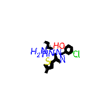 CC[C@H](N)CNc1nc(-c2cc(Cl)ccc2O)ncc1-c1cc(C)cs1